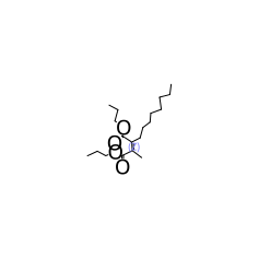 CCCCCCCC/C(C(=O)OCCC)=C(\C)C(=O)OCCC